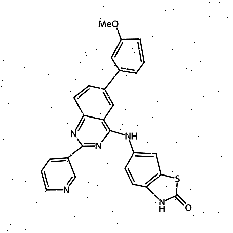 COc1cccc(-c2ccc3nc(-c4cccnc4)nc(Nc4ccc5[nH]c(=O)sc5c4)c3c2)c1